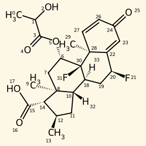 CC(O)C(=O)O[C@H]1C[C@@]2(C)[C@@H](C[C@@H](C)[C@@H]2C(=O)O)[C@@H]2C[C@H](F)C3=CC(=O)C=C[C@]3(C)[C@@]12F